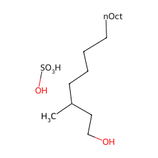 CCCCCCCCCCCCC(C)CCO.O=S(=O)(O)O